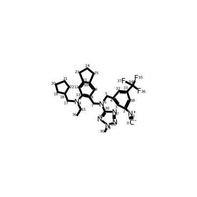 [C-]#[N+]c1cc(CN(Cc2cc3c(cc2N(CC)CC2CCCC2)CCC3)c2nnn(C)n2)cc(C(F)(F)F)c1